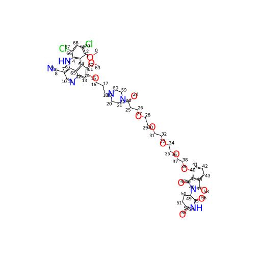 COc1cc(Nc2c(C#N)cnc3cc(OCCCN4CCN(C(=O)CCOCCOCCOCCOCCOc5cccc6c5C(=O)N(C5CCC(=O)NC5=O)C6=O)CC4)c(OC)cc23)c(Cl)cc1Cl